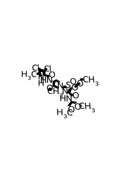 CCOC(=O)Oc1sc(N2CC[C@@H](NC(=O)c3[nH]c(C)c(Cl)c3Cl)[C@@H](OC)C2)nc1C(=O)NC(COC)COC